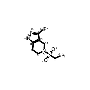 CC(C)CS(=O)(=O)N1CCc2[nH]nc(C(C)C)c2C1